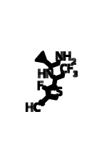 C#Cc1csc(C(CC(F)(F)F)NC(CN)C2CC2)c1F